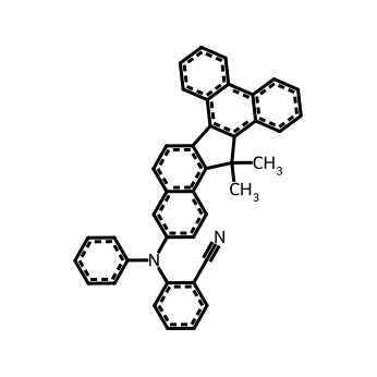 CC1(C)c2c(ccc3cc(N(c4ccccc4)c4ccccc4C#N)ccc23)-c2c1c1ccccc1c1ccccc21